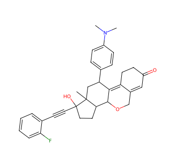 CN(C)c1ccc(C2CC3(C)C(CCC3(O)C#Cc3ccccc3F)C3OCC4=CC(=O)CCC4=C23)cc1